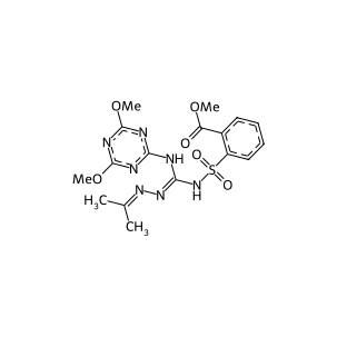 COC(=O)c1ccccc1S(=O)(=O)NC(=NN=C(C)C)Nc1nc(OC)nc(OC)n1